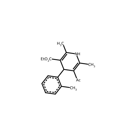 CCOC(=O)C1=C(C)NC(C)=C(C(C)=O)C1c1ccccc1C